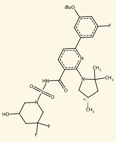 CC(C)COc1cc(F)cc(-c2ccc(C(=O)NS(=O)(=O)N3CC(O)CC(F)(F)C3)c(N3C[C@@H](C)CC3(C)C)n2)c1